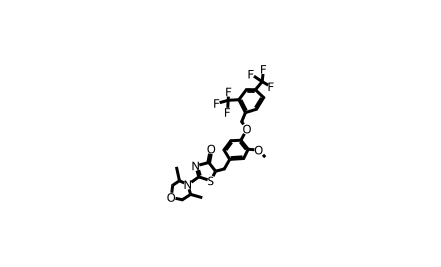 COc1cc(CC2SC(N3C(C)COCC3C)=NC2=O)ccc1OCc1ccc(C(F)(F)F)cc1C(F)(F)F